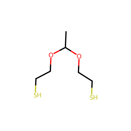 CC(OCCS)OCCS